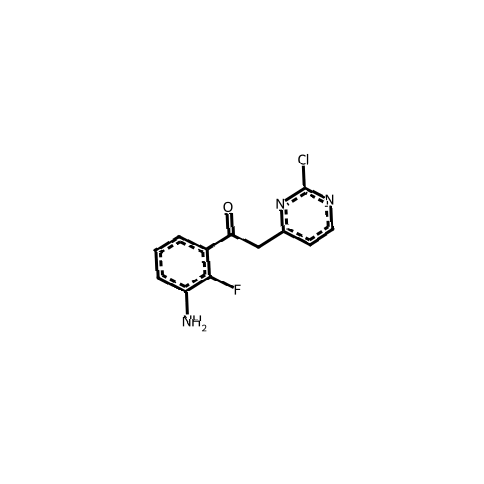 Nc1cccc(C(=O)Cc2ccnc(Cl)n2)c1F